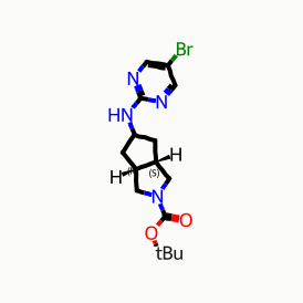 CC(C)(C)OC(=O)N1C[C@H]2CC(Nc3ncc(Br)cn3)C[C@H]2C1